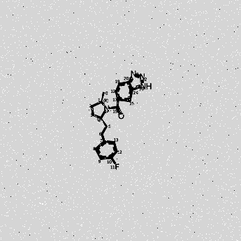 C[C@@H]1CC[C@H](CCc2ccc(F)cc2)N1C(=O)c1ccc2nn[nH]c2c1